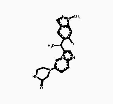 C[C@@H](c1cc2cnn(C)c2cc1F)c1cnc2ccc(N3CCNC(=O)C3)nn12